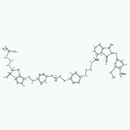 CCOc1cc(CN2C(=O)c3cccc(NCCCCc4ccc(CCNCc5ccc(OCc6scc7c6CN(CCCC(N)=O)C7=O)cc5)cc4)c3C2=O)ccc1OC